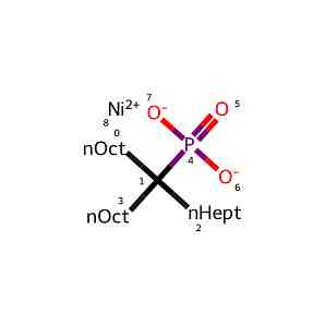 CCCCCCCCC(CCCCCCC)(CCCCCCCC)P(=O)([O-])[O-].[Ni+2]